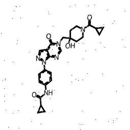 O=C(Nc1ccc(-n2ncc3c(=O)n(CC4(O)CCN(C(=O)C5CC5)CC4)cnc32)cc1)C1CC1